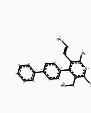 CCCC=Cc1c(C(C)C)nc(C(C)C)c(CO)c1-c1ccc(-c2ccccc2)cc1